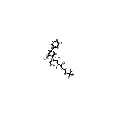 CCN(C(=O)CC(=O)CCCC(F)(F)F)c1cn(-c2cccnc2)nc1Cl